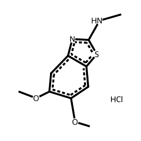 CNc1nc2cc(OC)c(OC)cc2s1.Cl